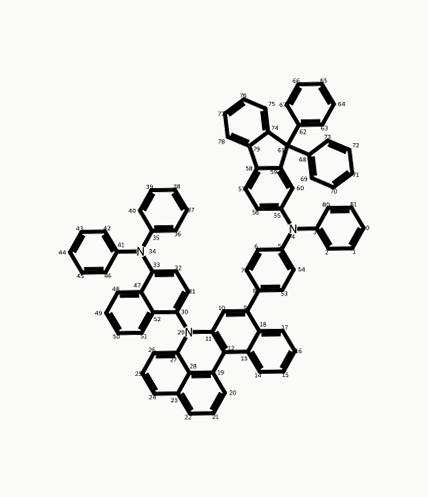 c1ccc(N(c2ccc(-c3cc4c(c5ccccc35)-c3cccc5cccc(c35)N4c3ccc(N(c4ccccc4)c4ccccc4)c4ccccc34)cc2)c2ccc3c(c2)C(c2ccccc2)(c2ccccc2)c2ccccc2-3)cc1